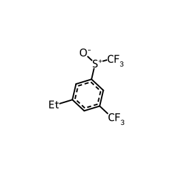 CCc1cc([S+]([O-])C(F)(F)F)cc(C(F)(F)F)c1